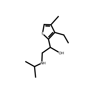 CCc1c(C)csc1C(O)CNC(C)C